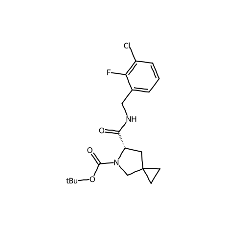 CC(C)(C)OC(=O)N1CC2(CC2)C[C@H]1C(=O)NCc1cccc(Cl)c1F